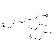 ClCCCl.ClCCCl.ClCCCl.ClCCCl